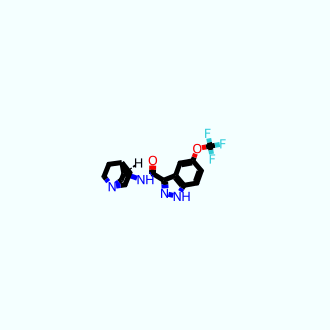 O=C(N[C@H]1CN2CCC1CC2)c1n[nH]c2ccc(OC(F)(F)F)cc12